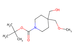 COCC1(CO)CCN(C(=O)OC(C)(C)C)CC1